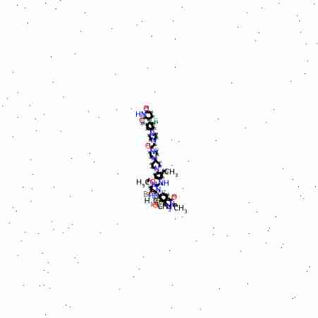 CCOc1cc(N2CCC(N3CCN(C(=O)CN4CCN(c5cc(F)c([C@H]6CCC(=O)NC6=O)c(F)c5)CC4)CC3)CC2)c(CC)cc1Nc1ncc(Br)c(Nc2ccc3c(=O)n(CC)ncc3c2P(C)(C)=O)n1